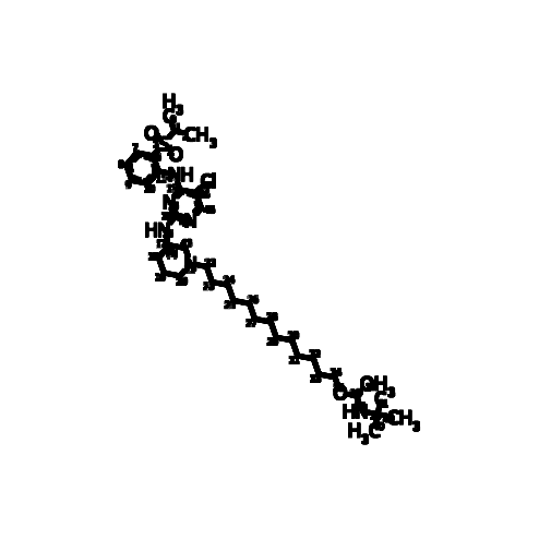 CC(C)S(=O)(=O)c1ccccc1Nc1nc(N[C@@H]2CCCN(CCCCCCCCCCCCCOC(=O)NC(C)(C)C)C2)ncc1Cl